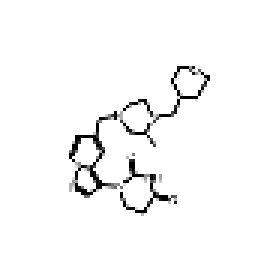 C[C@H]1CN(Cc2ccn3ncc(N4CCC(=O)NC4=O)c3c2)CCN1CC1CCOCC1